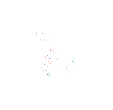 COC(=O)CC[C@H]1CN(S(=O)(=O)c2cccc(C(F)(F)F)c2)c2cc(/C=C/c3c(Cl)cccc3C(F)(F)F)ccc2O1